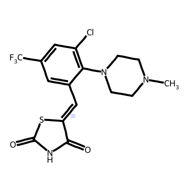 CN1CCN(c2c(Cl)cc(C(F)(F)F)cc2/C=C2\SC(=O)NC2=O)CC1